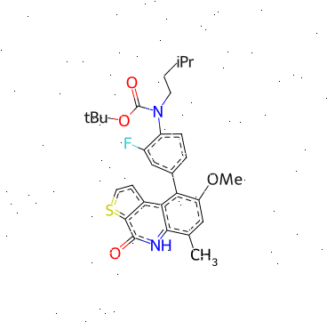 COc1cc(C)c2[nH]c(=O)c3sccc3c2c1-c1ccc(N(CCC(C)C)C(=O)OC(C)(C)C)c(F)c1